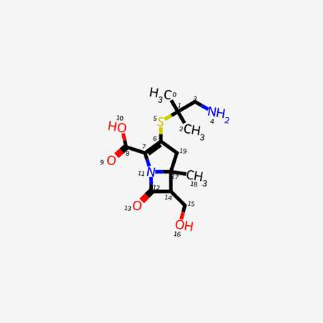 CC(C)(CN)SC1=C(C(=O)O)N2C(=O)C(CO)C2(C)C1